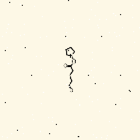 O=CCCCC(=O)ON1CCCC1